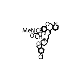 CNC(=O)C(C)(C)Oc1ccc2c(c1)C(=CCCN1CCC3(CC1)OCc1cc(Cl)ccc13)c1cccnc1CO2